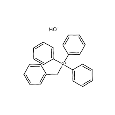 [OH-].c1ccc(C[P+](c2ccccc2)(c2ccccc2)c2ccccc2)cc1